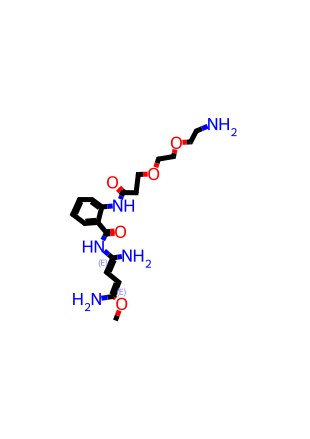 CO/C(N)=C/C=C(\N)NC(=O)c1ccccc1NC(=O)CCOCCOCCN